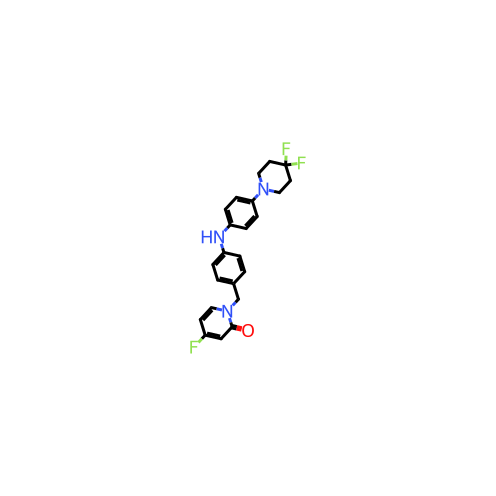 O=c1cc(F)ccn1Cc1ccc(Nc2ccc(N3CCC(F)(F)CC3)cc2)cc1